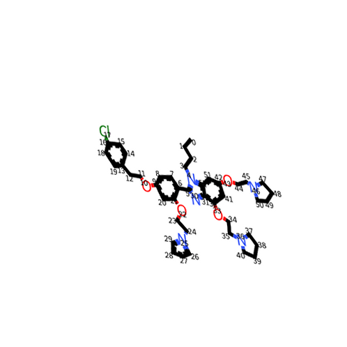 CCCCn1c(-c2ccc(OCCc3ccc(Cl)cc3)cc2OCCn2cccc2)nc2c(OCCN3CCCC3)cc(OCCN3CCCC3)cc21